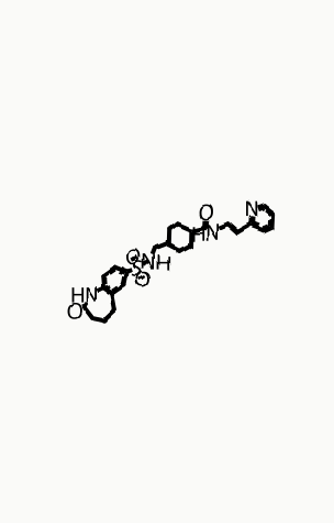 O=C1CCCc2cc(S(=O)(=O)NCC3CCC(C(=O)NCCc4ccccn4)CC3)ccc2N1